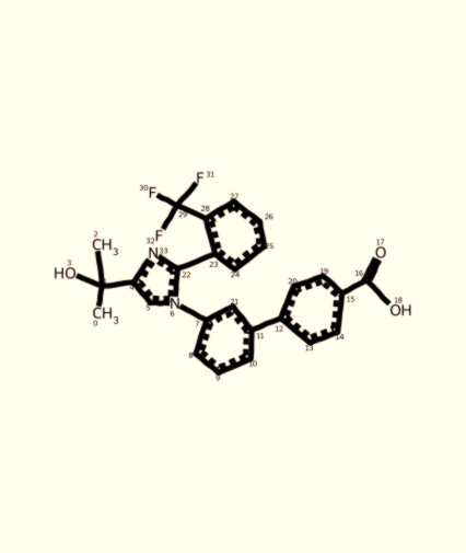 CC(C)(O)c1cn(-c2cccc(-c3ccc(C(=O)O)cc3)c2)c(-c2ccccc2C(F)(F)F)n1